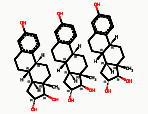 C[C@]12CC[C@@H]3c4ccc(O)cc4CC[C@H]3[C@@H]1C[C@@H](O)[C@@H]2O.C[C@]12CC[C@@H]3c4ccc(O)cc4CC[C@H]3[C@@H]1C[C@@H](O)[C@@H]2O.C[C@]12CC[C@@H]3c4ccc(O)cc4CC[C@H]3[C@@H]1C[C@@H](O)[C@@H]2O